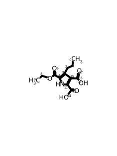 CCCc1c(C(=O)OCC)[nH]c(C(=O)O)c1C(=O)O